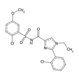 CCn1cc(C(=O)NS(=O)(=O)c2cc(OC)ccc2Cl)nc1-c1ccccc1Cl